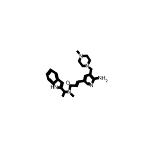 CC(c1cc2ccccc2[nH]1)N(C)C(=O)/C=C/c1cnc(N)c(CN2CCN(C)CC2)c1